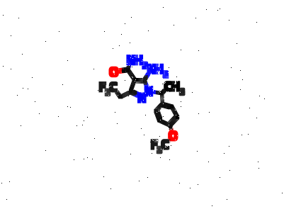 CC(c1ccc(OC(F)(F)F)cc1)n1nc(CC(F)(F)F)c(C(N)=O)c1N